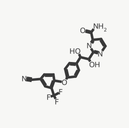 N#Cc1ccc(Oc2ccc(C(O)C(O)c3nccc(C(N)=O)n3)cc2)c(C(F)(F)F)c1